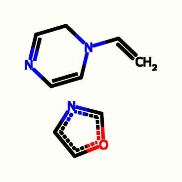 C=CN1C=CN=CC1.c1cocn1